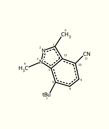 Cc1nn(C)c2c(C(C)(C)C)ccc(C#N)c12